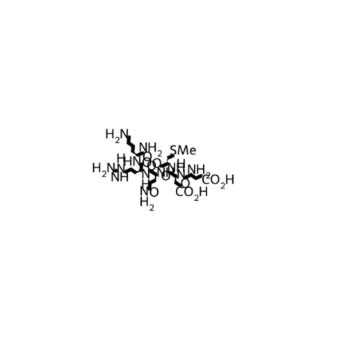 CSCC[C@H](NC(=O)[C@H](CCC(=O)O)NC(=O)[C@@H](N)CCC(=O)O)C(=O)N[C@@H](CCC(N)=O)C(=O)N[C@@H](CCCNC(=N)N)C(=O)N[C@@H](CCCCN)C(N)=O